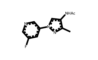 CC(=O)Nc1cn(-c2cncc(F)c2)nc1C